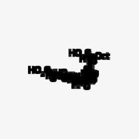 CCCCCCCCC(NC(=O)CCC(=O)Oc1ccc2nc3c(c(CC)c2c1)Cn1c-3cc2c(c1=O)COC(=O)[C@@]2(CC)OC(=O)CCC(=O)NC(CCCCCCCC)C(=O)O)C(=O)O